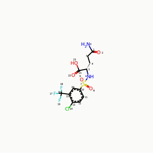 NC(=O)CC[C@H](NS(=O)(=O)c1ccc(Cl)c(C(F)(F)F)c1)C(=O)O